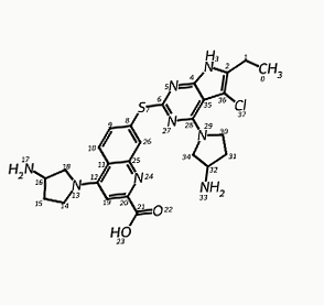 CCc1[nH]c2nc(Sc3ccc4c(N5CCC(N)C5)cc(C(=O)O)nc4c3)nc(N3CCC(N)C3)c2c1Cl